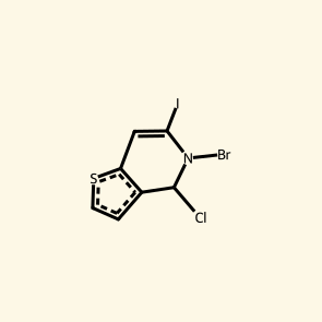 ClC1c2ccsc2C=C(I)N1Br